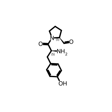 N[C@@H](Cc1ccc(O)cc1)C(=O)N1CCC[C@H]1C=O